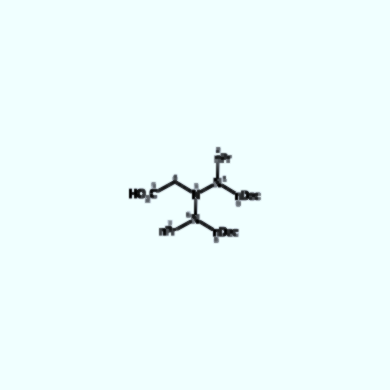 CCCCCCCCCCN(CCC)N(CC(=O)O)N(CCC)CCCCCCCCCC